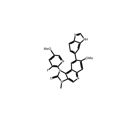 COc1cnc(-n2c(=O)n(C)c3cnc4cc(OC)c(-c5ccc6nc[nH]c6c5)cc4c32)c(F)c1